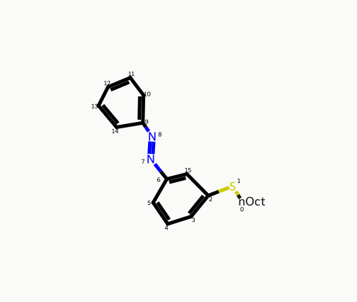 CCCCCCCCSc1cccc(N=Nc2ccccc2)c1